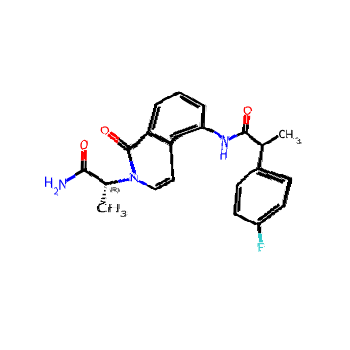 CC(C(=O)Nc1cccc2c(=O)n([C@H](C)C(N)=O)ccc12)c1ccc(F)cc1